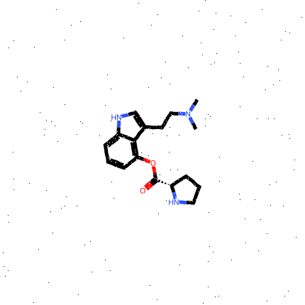 CN(C)CCc1c[nH]c2cccc(OC(=O)[C@@H]3CCCN3)c12